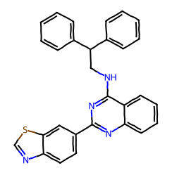 c1ccc(C(CNc2nc(-c3ccc4ncsc4c3)nc3ccccc23)c2ccccc2)cc1